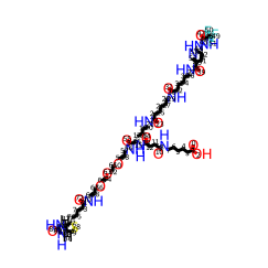 O=C(O)CCCCCNC(=O)CCC(=O)N[C@@H](CCCCNC(=O)CCCCCNC(=O)CCCCCNC(=O)c1ccc(NNC(=O)C(F)(F)F)nc1)C(=O)NCCCOCCOCCOCCCNC(=O)CCCC[C@@H]1SC[C@@H]2NC(=O)N[C@@H]21